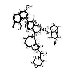 CCc1c(F)ccc2cc(O)cc(-c3ncc4c(N5CCCCn6nc(C(=O)N7CCOCC7)cc6C5)nc(OC[C@@]56CCCN5C[C@H](F)C6)nc4c3F)c12